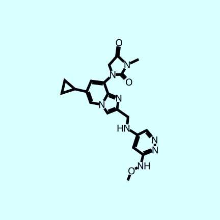 CONc1cc(NCc2cn3cc(C4CC4)cc(N4CC(=O)N(C)C4=O)c3n2)cnn1